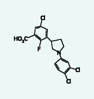 O=C(O)c1cc(Cl)cc(C2CCN(c3ccc(Cl)c(Cl)c3)C2)c1F